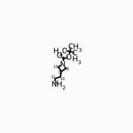 CC(C)(C)OC(=O)N1CC(CCN)C1